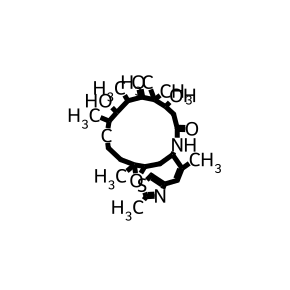 C/C(=C/c1csc(C)n1)C1CC2OC2(C)CCCC(C)C(O)C(C)C(=O)C(C)(C)C(O)CC(=O)N1